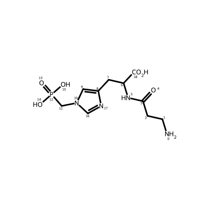 NCCC(=O)NC(Cc1cn(CP(=O)(O)O)cn1)C(=O)O